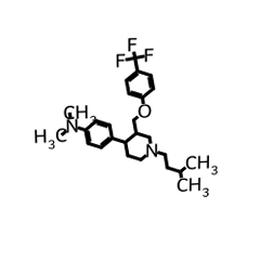 CC(C)CCN1CCC(c2ccc(N(C)C)cc2)C(COc2ccc(C(F)(F)F)cc2)C1